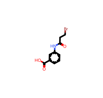 O=C(CCBr)Nc1cccc(C(=O)O)c1